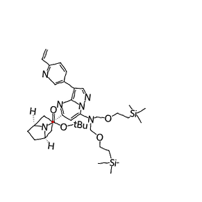 C=Cc1ccc(-c2cnn3c(N(COCC[Si](C)(C)C)COCC[Si](C)(C)C)cc([C@@H]4C[C@H]5CC[C@@H](C4)N5C(=O)OC(C)(C)C)nc23)cn1